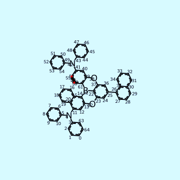 c1ccc(N(c2ccccc2)c2cc3c(c4ccccc24)B2c4c(cc(-c5cccc6ccccc56)cc4Oc4cc(N(c5ccccc5)c5ccccc5)c5ccccc5c42)O3)cc1